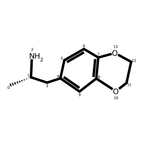 C[C@H](N)Cc1ccc2c(c1)OCCO2